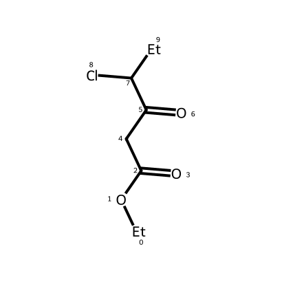 CCOC(=O)CC(=O)C(Cl)CC